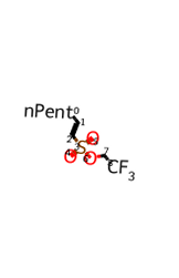 CCCCC/C=C/S(=O)(=O)OCC(F)(F)F